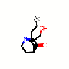 CC(=O)CCC1(CO)C(=O)C2CCN1CC2